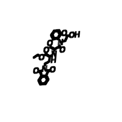 CCOC(=O)C(CCN1C(=O)c2ccccc2C1=O)N[C@H]1COc2ccccc2N(CC(=O)O)C1=O